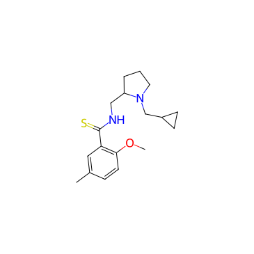 COc1ccc(C)cc1C(=S)NCC1CCCN1CC1CC1